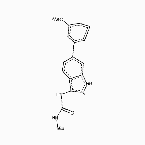 CCCCNC(=O)Nc1n[nH]c2cc(-c3cccc(OC)c3)ccc12